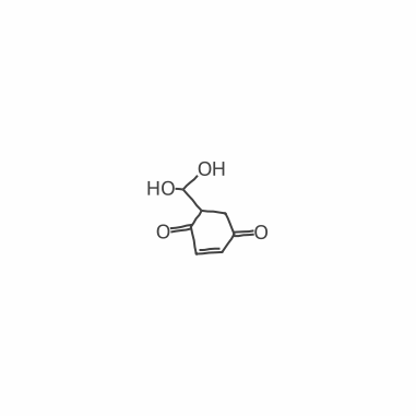 O=C1C=CC(=O)C(C(O)O)C1